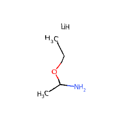 CCOC(C)N.[LiH]